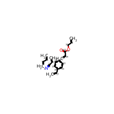 C=CC#N.C=CC=C.C=CCOC(=O)C=C.C=Cc1ccccc1